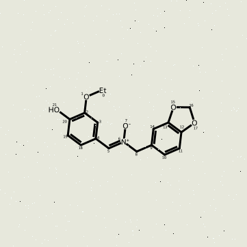 CCOc1cc(C=[N+]([O-])Cc2ccc3c(c2)OCO3)ccc1O